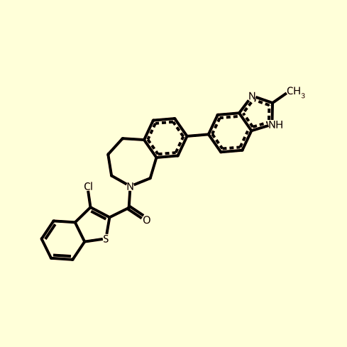 Cc1nc2cc(-c3ccc4c(c3)CN(C(=O)C3=C(Cl)C5C=CC=CC5S3)CCC4)ccc2[nH]1